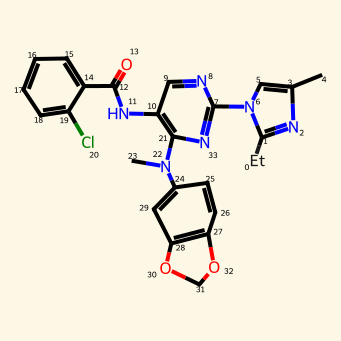 CCc1nc(C)cn1-c1ncc(NC(=O)c2ccccc2Cl)c(N(C)c2ccc3c(c2)OCO3)n1